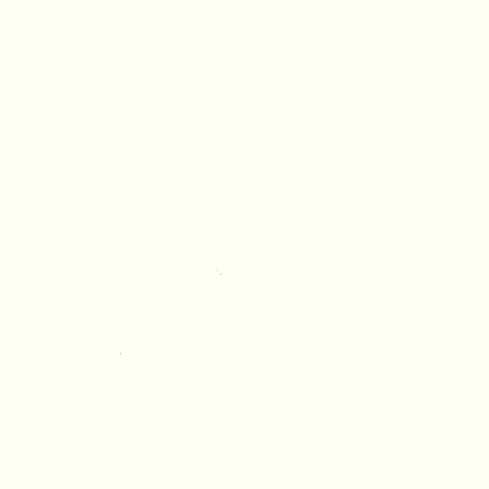 CCCCCCC1CN=C(/C=C/c2ccc(C(F)(F)F)cc2)c2cc3c(cc21)OCO3